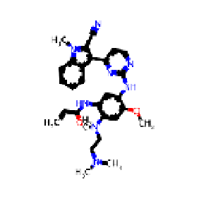 C=CC(=O)Nc1cc(Nc2nccc(-c3c(C#N)n(C)c4ccccc34)n2)c(OC)cc1N(C)CCN(C)C